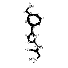 NCC(=O)Nc1nc(-c2cccc(CS)c2)cs1